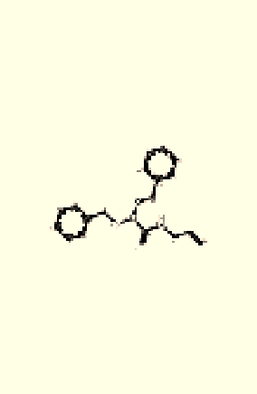 C=CCNC(=O)N(SCc1ccccc1)SCc1ccccc1